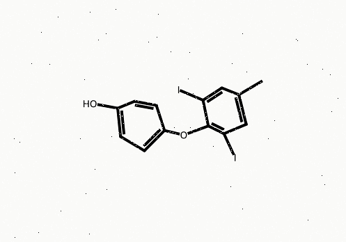 Cc1cc(I)c(Oc2ccc(O)cc2)c(I)c1